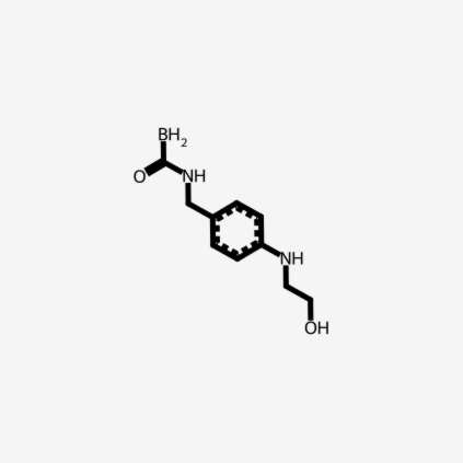 BC(=O)NCc1ccc(NCCO)cc1